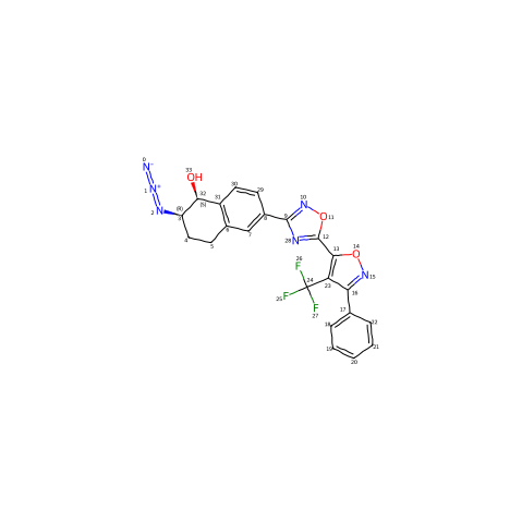 [N-]=[N+]=N[C@@H]1CCc2cc(-c3noc(-c4onc(-c5ccccc5)c4C(F)(F)F)n3)ccc2[C@@H]1O